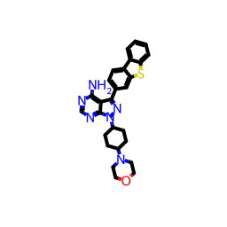 Nc1ncnc2c1c(-c1ccc3c(c1)sc1ccccc13)nn2C1CCC(N2CCOCC2)CC1